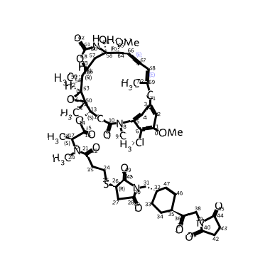 COc1cc2cc(c1Cl)N(C)C(=O)C[C@H](OC(=O)[C@H](C)N(C)C(=O)CCS[C@@H]1CC(=O)N(C[C@H]3CC[C@H](C(=O)CN4C(=O)CCC4=O)CC3)C1=O)[C@]1(C)O[C@H]1[C@H](C)[C@@H]1C[C@@](O)(NC(=O)O1)[C@H](OC)/C=C/C=C(\C)C2